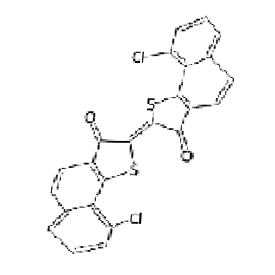 O=C1/C(=C2\Sc3c(ccc4cccc(Cl)c34)C2=O)Sc2c1ccc1cccc(Cl)c21